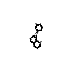 c1ccc(N2c3ccc4ccccc4c32)cc1